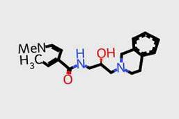 C/C=C(\C=C/NC)C(=O)NC[C@@H](O)CN1CCc2ccccc2C1